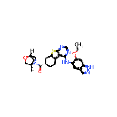 CCOc1cc2[nH]ncc2cc1Nc1ncnc2sc3c(c12)CC[C@H](C(=O)N1C[C@@H]2C[C@H]1CO2)C3